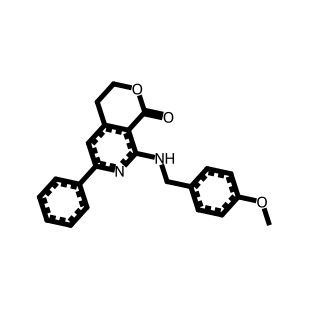 COc1ccc(CNc2nc(-c3ccccc3)cc3c2C(=O)OCC3)cc1